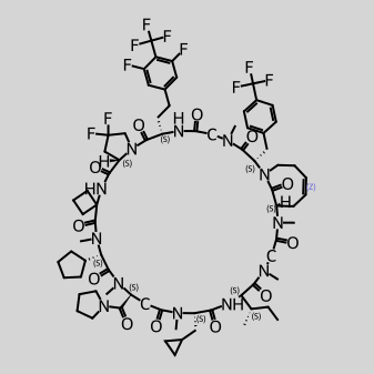 CC[C@H](C)[C@@H]1NC(=O)[C@H](CC2CC2)N(C)C(=O)C[C@@H](C(=O)N2CCCC2)N(C)C(=O)[C@H](C2CCCC2)N(C)C(=O)C2(CCC2)NC(=O)[C@@H]2CC(F)(F)CN2C(=O)[C@H](CCc2cc(F)c(C(F)(F)F)c(F)c2)NC(=O)CN(C)C(=O)[C@H](Cc2ccc(C(F)(F)F)cc2)N2CC/C=C\C[C@@H](C2=O)N(C)C(=O)CN(C)C1=O